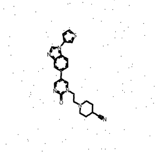 N#CC1CCN(CCn2cc(-c3ccc4c(c3)ncn4-c3ccsc3)cnc2=O)CC1